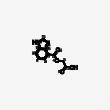 O=C(O)COC(=O)c1cccc2[nH]cnc12